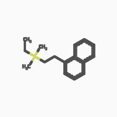 CCS(C)(C)CCc1cccc2ccccc12